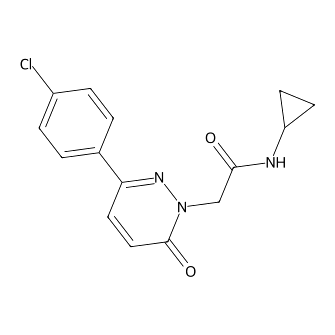 O=C(Cn1nc(-c2ccc(Cl)cc2)ccc1=O)NC1CC1